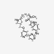 C=C1CC(COc2ccnc(-c3ccnc(Nc4ccc5[nH]c(C(=O)N(C)C)cc5c4)n3)c2)CN1